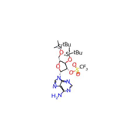 CC(C)(C)[Si](C)(C)OC[C@H]1O[C@@H](n2cnc3c(N)ncnc32)[C@@H](OS(=O)(=O)C(F)(F)F)[C@@H]1O[Si](C)(C)C(C)(C)C